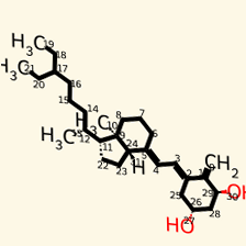 C=C1/C(=C/C=C2\CCC[C@]3(C)[C@@H]([C@H](C)CCCC(CC)CC)CC[C@@H]23)C[C@@H](O)C[C@@H]1O